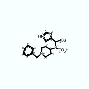 CC(C)(C)C(c1c[nH]cn1)N(C(=O)O)C1CCN(Cc2ccccc2)CC1